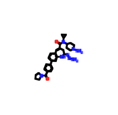 NN=NC1CC(C(=O)N(C2CC2)C2CCN(N)CC2)=Cc2ccc(-c3ccc(C(=O)N4CCCC4)cc3)cc2N1